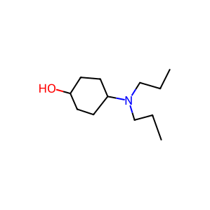 CCCN(CCC)C1CCC(O)CC1